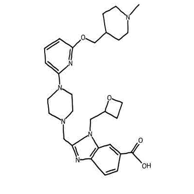 CN1CCC(COc2cccc(N3CCN(Cc4nc5ccc(C(=O)O)cc5n4CC4CCO4)CC3)n2)CC1